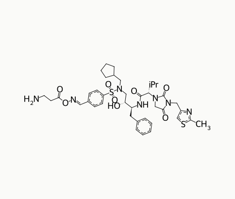 Cc1nc(CN2C(=O)CN([C@H](C(=O)N[C@@H](Cc3ccccc3)[C@H](O)CN(CC3CCCC3)S(=O)(=O)c3ccc(/C=N/OC(=O)CCN)cc3)C(C)C)C2=O)cs1